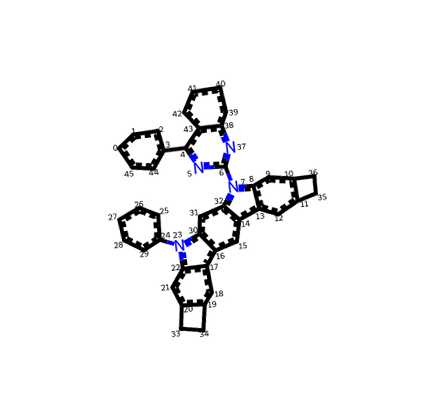 c1ccc(-c2nc(-n3c4cc5c(cc4c4cc6c7cc8c(cc7n(-c7ccccc7)c6cc43)CC8)CC5)nc3ccccc23)cc1